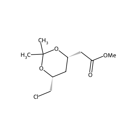 COC(=O)C[C@@H]1C[C@H](CCl)OC(C)(C)O1